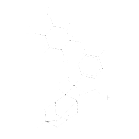 CCc1ccc(C2(OCC(F)(F)F)OOC23C2CC4CC3CC(Cl)(C4)C2)cc1OC1OC(C)C(O)C(O)C1O